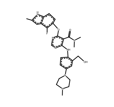 Cc1cc2c(F)c(Oc3ncnc(Nc4ccc(N5CCN(C)CC5)cc4CO)c3C(=O)N(C)C)ccc2[nH]1